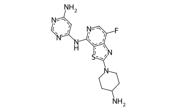 Nc1cc(Nc2ncc(F)c3nc(N4CCC(N)CC4)sc23)ncn1